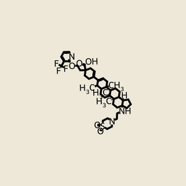 CC1C(C2=CCC(CCOc3ncccc3C(F)(F)F)(C(=O)O)CC2)=CCC2(C)C1CCC1(C)C2CCC2[C@H]3CCC[C@]3(NCCN3CCS(=O)(=O)CC3)CC[C@]21C